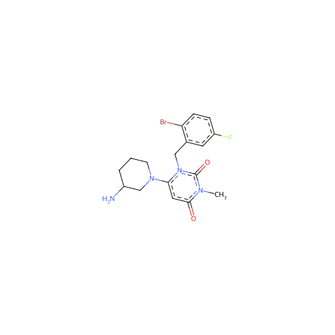 Cn1c(=O)cc(N2CCCC(N)C2)n(Cc2cc(F)ccc2Br)c1=O